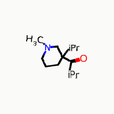 CC(C)C(=O)C1(C(C)C)CCCN(C)C1